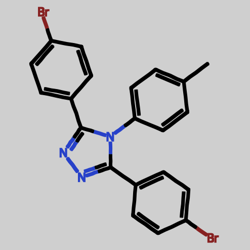 Cc1ccc(-n2c(-c3ccc(Br)cc3)nnc2-c2ccc(Br)cc2)cc1